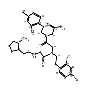 CN1CCCC1CCNCC(=O)N(CCc1ccc(Cl)cc1Cl)CC(=O)N(CCc1ccc(Cl)cc1Cl)CC(N)=O